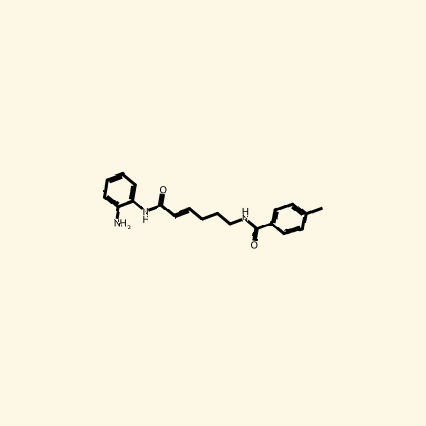 Cc1ccc(C(=O)NCCC/C=C/C(=O)Nc2ccccc2N)cc1